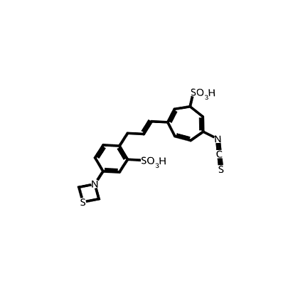 O=S(=O)(O)c1cc(N2CSC2)ccc1C/C=C/C1=CC(S(=O)(=O)O)C=C(N=C=S)C=C1